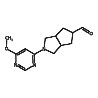 COc1cc(N2CC3CC(C=O)CC3C2)ncn1